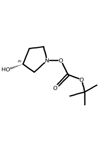 CC(C)(C)OC(=O)ON1CC[C@@H](O)C1